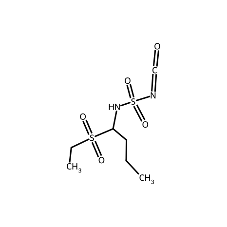 CCCC(NS(=O)(=O)N=C=O)S(=O)(=O)CC